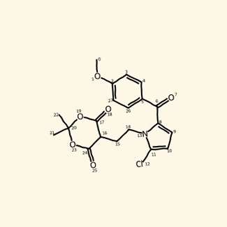 COc1ccc(C(=O)c2ccc(Cl)n2CCC2C(=O)OC(C)(C)OC2=O)cc1